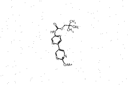 COc1ncc(-c2cnc(NC(=O)OCC(C)(C)O)cn2)cn1